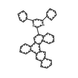 c1ccc(-c2cc(-c3ccccc3)nc(-c3cc4c5ccccc5c5cc6ccccc6cc5c4c4ccccc34)n2)cc1